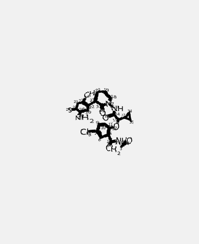 C=C(NC=O)c1cc(Cl)ccc1OC(C(=O)Nn1cccc(C2=C(C)CC(=S)C(N)=C2)c1=O)C1CC1